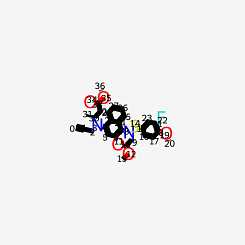 C#CCN(c1ccc(N(CC(=O)OC)Sc2ccc(OC)c(F)c2)c2ccccc12)[C@@H](C)CC(=O)OC